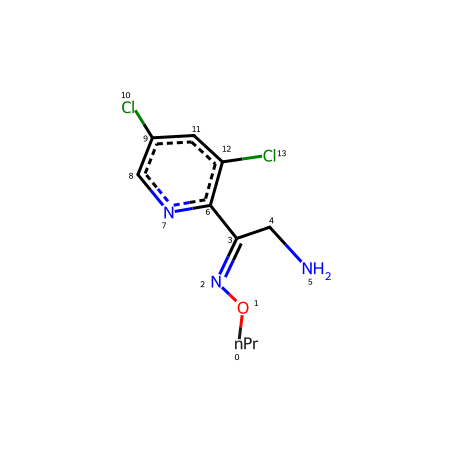 CCCO/N=C(\CN)c1ncc(Cl)cc1Cl